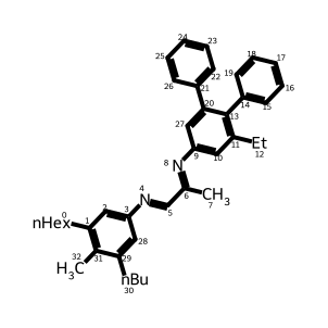 CCCCCCc1cc(N=CC(C)=Nc2cc(CC)c(-c3ccccc3)c(-c3ccccc3)c2)cc(CCCC)c1C